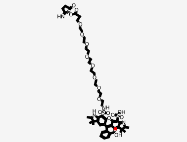 CC1N=c2c(cc3c(c2S(=O)(=O)O)Oc2c(cc4c(c2S(=O)(=O)NCCOCCOCCOCCOCCOCCOCCOCCOCCC(=O)ON2C(=N)CCC2=O)NC(C)C4(C)C)C=3c2ccccc2C(=O)O)C1(C)C